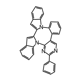 c1ccc(-c2ncc3c4ccccc4n4c5ccccc5cc4c4cc5ccccc5n4c3n2)cc1